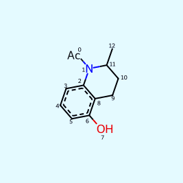 CC(=O)N1c2cccc(O)c2CCC1C